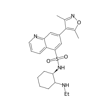 CCNC1CCCC[C@H]1NS(=O)(=O)c1cc(-c2c(C)noc2C)cc2ncccc12